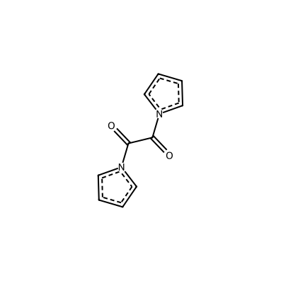 O=C(C(=O)n1cccc1)n1cccc1